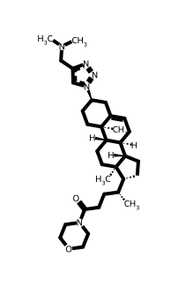 C[C@H](CCC(=O)N1CCOCC1)[C@H]1CC[C@H]2[C@@H]3CC=C4C[C@H](n5cc(CN(C)C)nn5)CC[C@]4(C)[C@H]3CC[C@]12C